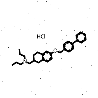 CCCN(CCC)CC1CCc2cc(OCc3ccc(-c4ccccc4)cc3)ccc2C1.Cl